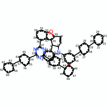 C1=CC2C(c3ccccc3N2c2cccc(-c3ccc(-c4ccccc4)cc3)c2)c2c1oc1cccc(-c3nc(-c4ccc(-c5ccccc5)cc4)nc(-c4ccc(-c5ccccc5)cc4)n3)c21